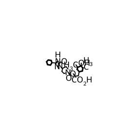 Cc1cc(CC(OC(=O)N2CCC(n3nc(-c4ccccc4)[nH]c3=O)CC2)C(=O)O)cc(C)c1O